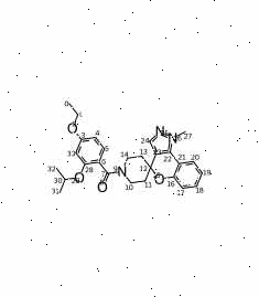 CCOc1ccc(C(=O)N2CCC3(CC2)Oc2ccccc2-c2c3cnn2C)c(OC(C)C)c1